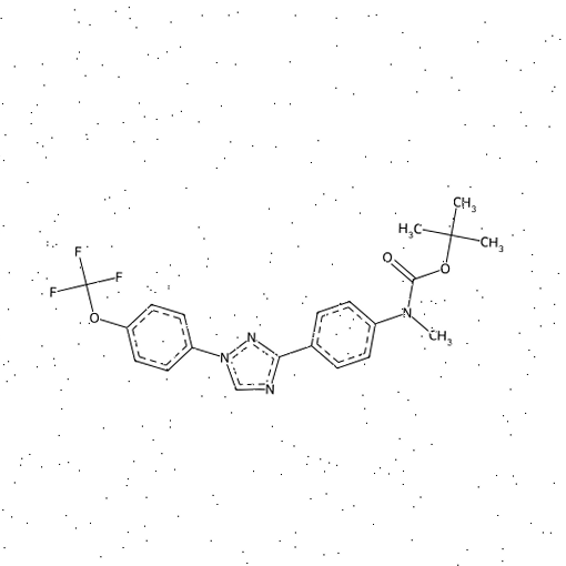 CN(C(=O)OC(C)(C)C)c1ccc(-c2ncn(-c3ccc(OC(F)(F)F)cc3)n2)cc1